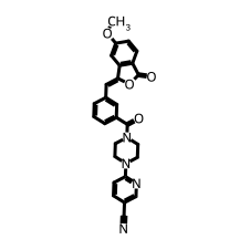 COc1ccc2c(c1)C(=Cc1cccc(C(=O)N3CCN(c4ccc(C#N)cn4)CC3)c1)OC2=O